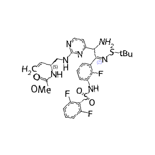 C=C[C@@H](CNc1nccc(C(N)/C(=N\SC(C)(C)C)c2cccc(NS(=O)(=O)c3c(F)cccc3F)c2F)n1)NC(=O)OC